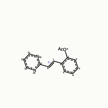 CC(=O)Oc1ccccc1/C=C/c1ncccn1